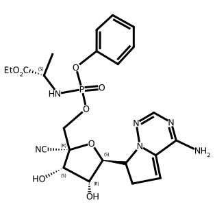 CCOC(=O)[C@H](C)NP(=O)(OC[C@@]1(C#N)O[C@@H](C2CC=C3C(N)=NC=NN32)[C@H](O)[C@@H]1O)Oc1ccccc1